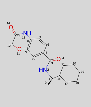 C[C@@H](NC(=O)c1ccc2c(c1)OCC(=O)N2)C1CCCCC1